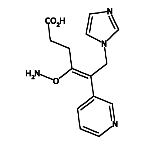 NOC(CCC(=O)O)=C(Cn1ccnc1)c1cccnc1